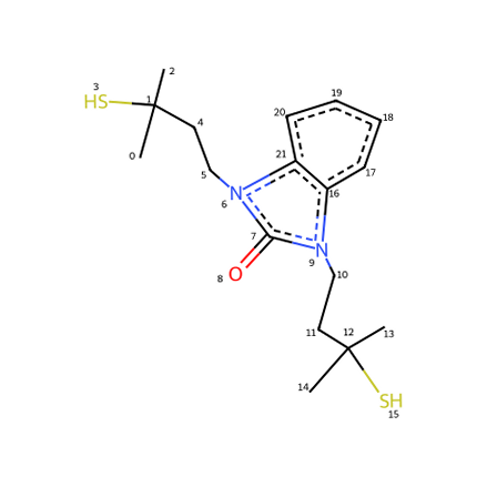 CC(C)(S)CCn1c(=O)n(CCC(C)(C)S)c2ccccc21